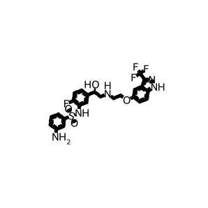 Nc1cccc(S(=O)(=O)Nc2cc([C@@H](O)CNCCOc3ccc4[nH]nc(C(F)(F)F)c4c3)ccc2F)c1